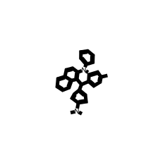 Cc1ccc(C(c2ccc(N(C)C)cc2)c2c(N(C)c3ccccc3)ccc3ccccc23)cc1